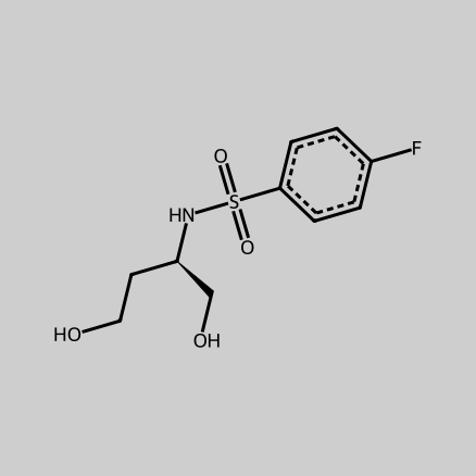 O=S(=O)(N[C@@H](CO)CCO)c1ccc(F)cc1